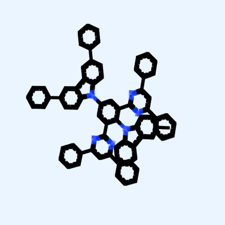 Cc1ccc2c(c1)c1ccccc1n2-c1c(-c2nc(-c3ccccc3)cc(-c3ccccc3)n2)cc(-n2c3ccc(-c4ccccc4)cc3c3cc(-c4ccccc4)ccc32)cc1-c1nc(-c2ccccc2)cc(-c2ccccc2)n1